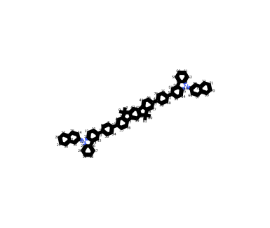 CC1(C)c2cc(-c3ccc(-c4ccc5c(c4)c4ccccc4n5-c4ccc5ccccc5c4)cc3)ccc2-c2cc3c(cc21)-c1ccc(-c2ccc(-c4ccc5c(c4)c4ccccc4n5-c4ccc5ccccc5c4)cc2)cc1C3(C)C